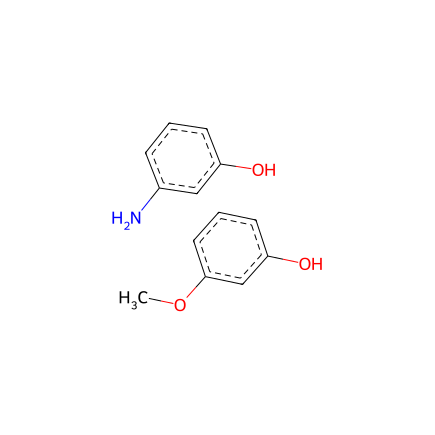 COc1cccc(O)c1.Nc1cccc(O)c1